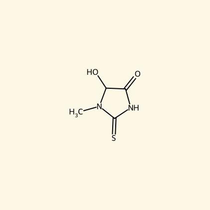 CN1C(=S)NC(=O)C1O